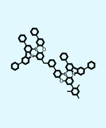 Cc1cc(C)c(-c2cc3c4c(c2)-n2c5ccc(-c6ccccc6)cc5c5cc(-c6ccccc6)cc(c52)B4c2cc(-c4cccc(Cc5cc6c7c(c5)-n5c8ccc(-c9ccccc9)cc8c8cc(-c9ccccc9)cc(c85)B7c5cc(-c7ccccc7)ccc5O6)c4)ccc2O3)c(C)c1